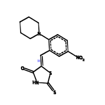 O=C1NC(=S)S/C1=C\c1cc([N+](=O)[O-])ccc1N1CCCCC1